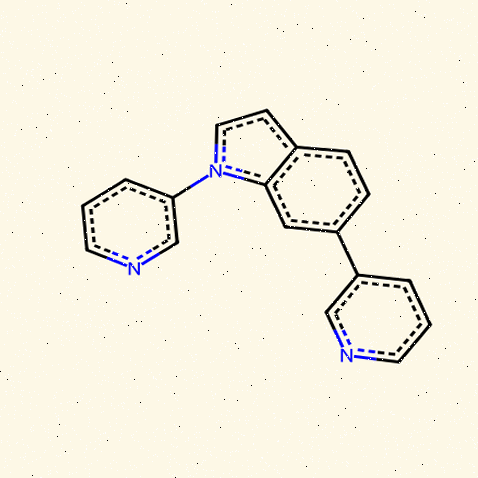 c1cncc(-c2ccc3ccn(-c4cccnc4)c3c2)c1